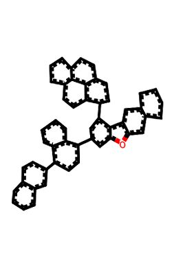 c1ccc2cc(-c3ccc(-c4cc(-c5ccc6ccc7cccc8ccc5c6c78)c5c(c4)oc4cc6ccccc6cc45)c4ccccc34)ccc2c1